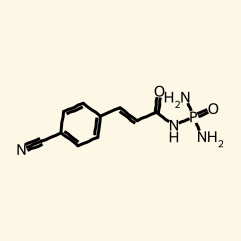 N#Cc1ccc(C=CC(=O)NP(N)(N)=O)cc1